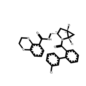 O=C(NC[C@@H]1C[C@@H]2C[C@@H]2N1C(=O)c1ccccc1-c1cccc(Cl)c1)c1cccc2c1OCCO2